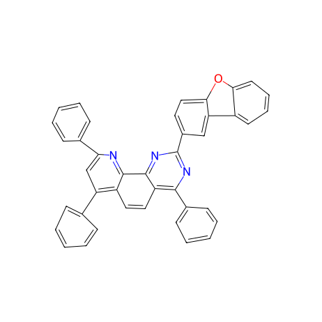 c1ccc(-c2cc(-c3ccccc3)c3ccc4c(-c5ccccc5)nc(-c5ccc6oc7ccccc7c6c5)nc4c3n2)cc1